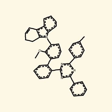 COc1c(-c2ccccc2-c2nc(-c3ccccc3)nc(-c3ccc(C)cc3)n2)cccc1-n1c2c(c3ccccc31)C=CCC2